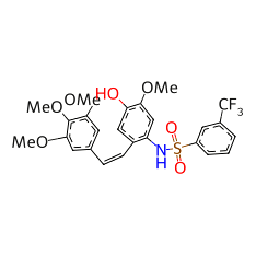 COc1cc(NS(=O)(=O)c2cccc(C(F)(F)F)c2)c(/C=C\c2cc(OC)c(OC)c(OC)c2)cc1O